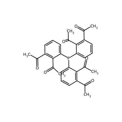 CC(=O)c1cccc(P(c2cccc(C(C)=O)c2C(C)=O)c2cccc(C(C)=O)c2C(C)=O)c1C(C)=O